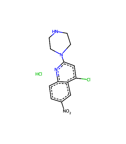 Cl.O=[N+]([O-])c1ccc2nc(N3CCNCC3)cc(Cl)c2c1